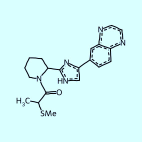 CSC(C)C(=O)N1CCCCC1c1nc(-c2ccc3nccnc3c2)c[nH]1